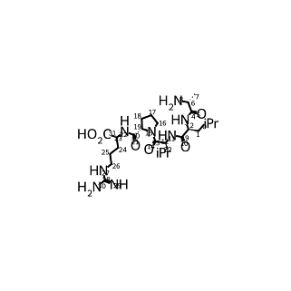 CC(C)C[C@H](NC(=O)[C@@H](C)N)C(=O)N[C@H](C(=O)N1CCC[C@H]1C(=O)N[C@@H](CCCNC(=N)N)C(=O)O)C(C)C